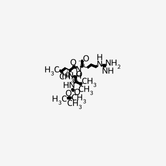 CC(C)C[C@H](NC(=O)[C@H](NC(=O)OC(C)(C)C)C(C)C)C(=O)N[C@H]([C]=O)CCCNC(=N)N